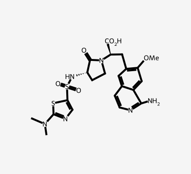 COc1cc2c(N)nccc2cc1C[C@H](C(=O)O)N1CC[C@H](NS(=O)(=O)c2cnc(N(C)C)s2)C1=O